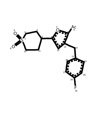 CC(=O)c1oc(C2CCS(=O)(=O)CC2)cc1Cc1ccc(F)cc1